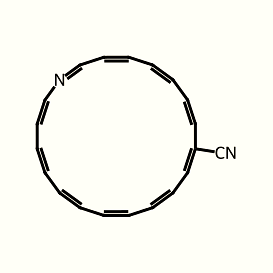 N#CC1=CC=CC=CC=CC=CC=CN=CC=CC=CC=C1